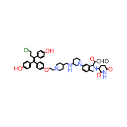 O=CC(=O)C1c2cc(N3CCCC(NCC4CCN(CCOc5ccc(C(=C(CCCl)c6ccc(O)cc6)c6ccc(O)cc6)cc5)CC4)C3)ccc2CN1C1CCC(=O)NC1=O